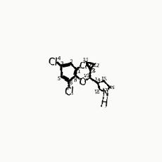 Cc1cc(Cl)cc(Cl)c1O[C@@H](C1CC1)[C@H]1CCNC1